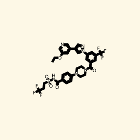 CCOc1cncc(-c2cnn(-c3cc(C(=O)N4CCN(c5ccc(C(=O)NS(=O)(=O)CCC(F)(F)F)cc5)CC4)cc(C(F)(F)F)c3)c2)c1